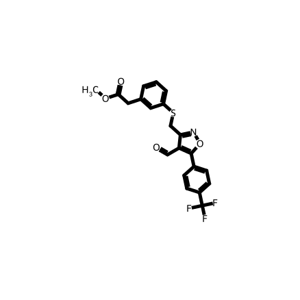 COC(=O)Cc1cccc(SCc2noc(-c3ccc(C(F)(F)F)cc3)c2C=O)c1